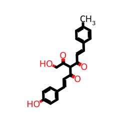 Cc1ccc(/C=C/C(=O)C(C(=O)/C=C/c2ccc(O)cc2)C(=O)CO)cc1